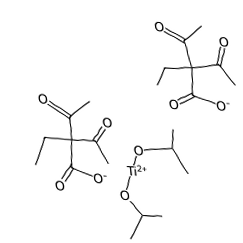 CC(C)[O][Ti+2][O]C(C)C.CCC(C(C)=O)(C(C)=O)C(=O)[O-].CCC(C(C)=O)(C(C)=O)C(=O)[O-]